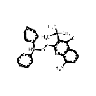 CC(C)(C)c1c(CO[SiH](c2ccccc2)c2ccccc2)nc2c(N)cccc2c1Cl